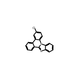 Clc1ccc2c(c1)c1ccccc1c1nc3ccccc3n21